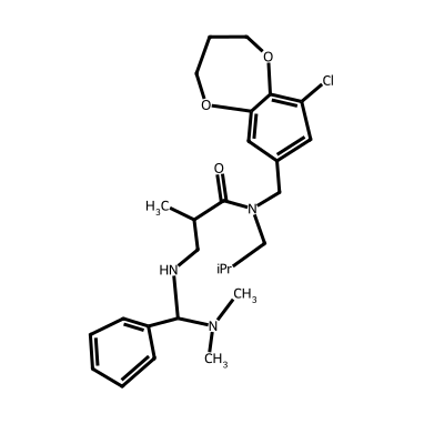 CC(C)CN(Cc1cc(Cl)c2c(c1)OCCCO2)C(=O)C(C)CNC(c1ccccc1)N(C)C